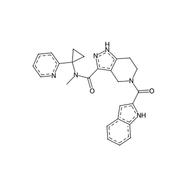 CN(C(=O)c1n[nH]c2c1CN(C(=O)c1cc3ccccc3[nH]1)CC2)C1(c2ccccn2)CC1